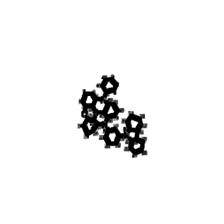 c1ccc(N2c3cccc4c3B3c5c(cccc5N(c5cccc(-n6c7ccccc7c7ccccc76)c5)c5cccc2c53)O4)cc1